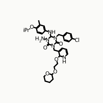 Cc1cc(NC2N(N)C(=O)N(CC3=CC=CNC3OCCOC3CCCCO3)C(=O)N2Cc2ccc(Cl)cc2)ccc1OC(C)C